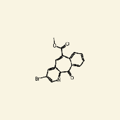 COC(=O)c1cc2cc(Br)cnc2c(=O)c2ccccc12